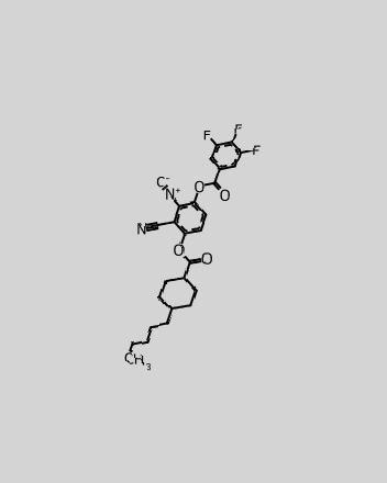 [C-]#[N+]c1c(OC(=O)c2cc(F)c(F)c(F)c2)ccc(OC(=O)C2CCC(CCCCC)CC2)c1C#N